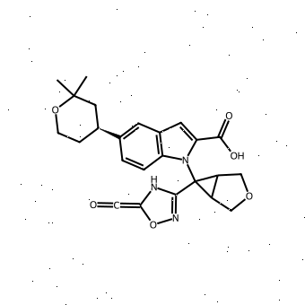 CC1(C)C[C@@H](c2ccc3c(c2)cc(C(=O)O)n3C2(C3=NOC(=C=O)N3)C3COCC32)CCO1